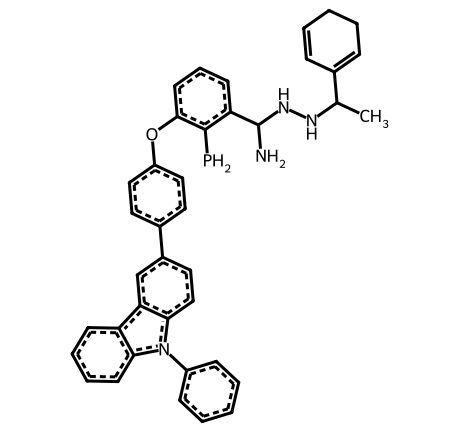 CC(NNC(N)c1cccc(Oc2ccc(-c3ccc4c(c3)c3ccccc3n4-c3ccccc3)cc2)c1P)C1=CCCC=C1